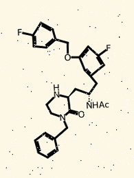 CC(=O)N[C@@H](Cc1cc(F)cc(OCc2ccc(F)cc2)c1)C[C@@H]1NCCN(Cc2ccccc2)C1=O